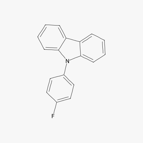 Fc1ccc(-n2c3ccccc3c3ccccc32)cc1